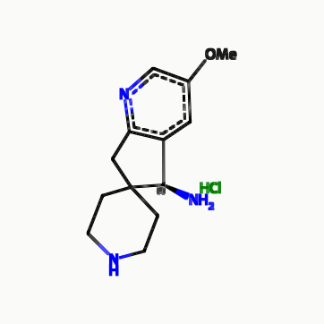 COc1cnc2c(c1)[C@@H](N)C1(CCNCC1)C2.Cl